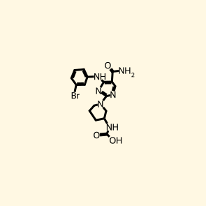 NC(=O)c1cnc(N2CCCC(NC(=O)O)C2)nc1Nc1cccc(Br)c1